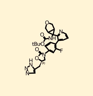 CC(C)(C)OC(=O)NC1(c2ncccc2-c2ccc(N3C[C@@H](Cc4cnn[nH]4)OC3=O)cc2F)C2COCC21